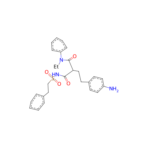 CCN(C(=O)C(CCc1ccc(N)cc1)C(=O)NS(=O)(=O)CCc1ccccc1)c1ccccc1